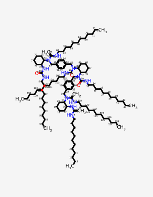 C=C(NCCCCCCCCCCCC)NC1CCCCC1N(Cc1ccc(CN(C(=O)NCCCCCCCCCCCC)C2CCCCC2N(Cc2ccc(CN(C(=C)NCCCCCCCCCCCC)C3CCCCC3NC(=O)NCCCCCCCCCCCC)cc2)C(=O)NCCCCCCCCCCCC)cc1)C(=C)NCCCCCCCCCCCC